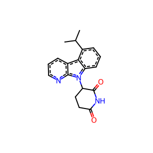 CC(C)c1cccc2c1c1cccnc1n2C1CCC(=O)NC1=O